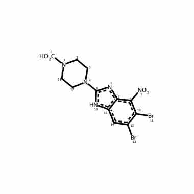 O=C(O)N1CCN(c2nc3c([N+](=O)[O-])c(Br)c(Br)cc3[nH]2)CC1